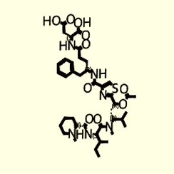 CCC(C)[C@H](NC(=O)[C@H]1CCCCN1C)C(=O)N(C)[C@H](C[C@@H](OC(C)=O)c1nc(C(=O)N[C@H](CCC(=O)N[C@@H](CC(=O)O)C(=O)O)Cc2ccccc2)cs1)C(C)C